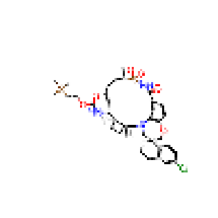 C[C@@H]1CC/C=C/[C@H](NC(=O)OCCS(C)(C)C)[C@@H]2CC[C@H]2CN2C[C@@]3(CCCc4cc(Cl)ccc43)COc3ccc(cc32)C(=O)NS1(=O)=O